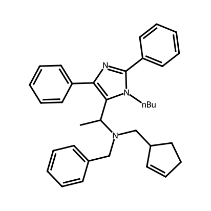 CCCCn1c(-c2ccccc2)nc(-c2ccccc2)c1C(C)N(Cc1ccccc1)CC1C=CCC1